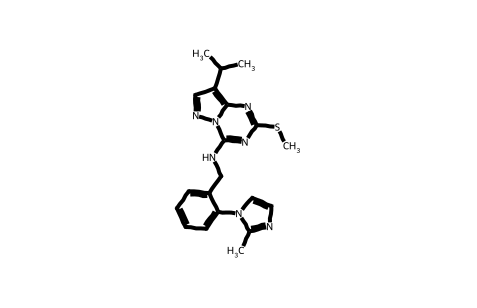 CSc1nc(NCc2ccccc2-n2ccnc2C)n2ncc(C(C)C)c2n1